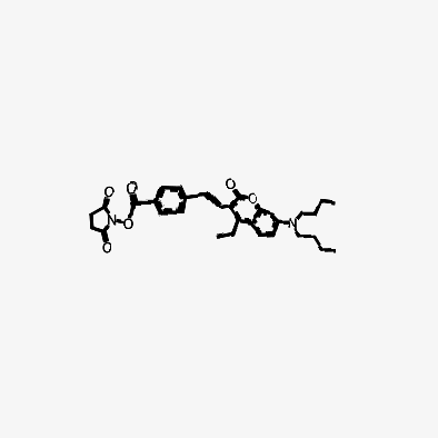 CCCCN(CCCC)c1ccc2c(CC)c(/C=C/c3ccc(C(=O)ON4C(=O)CCC4=O)cc3)c(=O)oc2c1